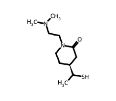 CC(S)[C@H]1CCN(CCN(C)C)C(=O)C1